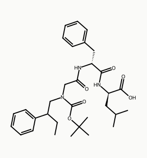 CCC(CN(CC(=O)N[C@H](Cc1ccccc1)C(=O)N[C@H](CC(C)C)C(=O)O)C(=O)OC(C)(C)C)c1ccccc1